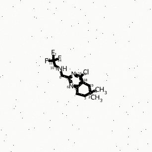 CC1(C)CCc2nc(CNCC(F)(F)F)nc(Cl)c2C1